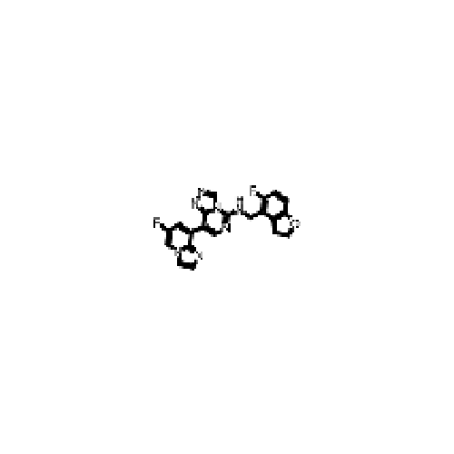 Fc1cc(-c2cnc(NCc3c(F)ccc4c3CCO4)n3cnnc23)c2nccn2c1